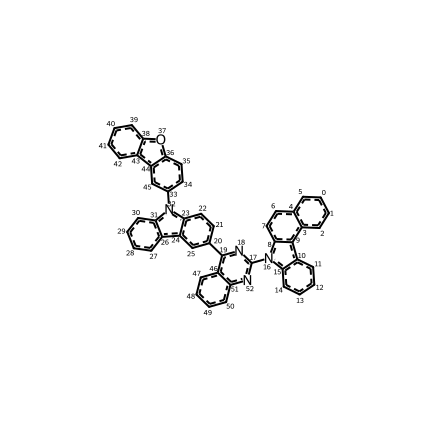 c1ccc2c(c1)ccc1c2c2ccccc2n1-c1nc(-c2ccc3c(c2)c2ccccc2n3-c2ccc3oc4ccccc4c3c2)c2ccccc2n1